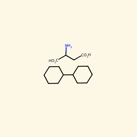 C1CCC(C2CCCCC2)CC1.NC(CC(=O)O)C(=O)O